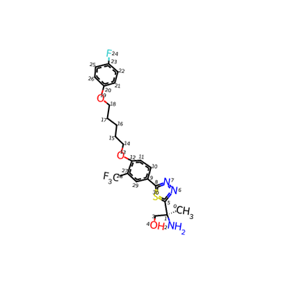 C[C@](N)(CO)c1nnc(-c2ccc(OCCCCCOc3ccc(F)cc3)c(C(F)(F)F)c2)s1